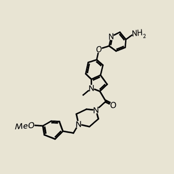 COc1ccc(CN2CCN(C(=O)c3cc4cc(Oc5ccc(N)cn5)ccc4n3C)CC2)cc1